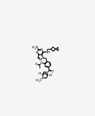 CN1C[C@H]2C[C@@H]1CN2C(=O)c1ccc(Cn2ncc3nc(N)nc(NCC4CC5(CC5)C4)c32)c(OC(F)F)c1